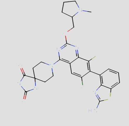 CN1CCCC1COc1nc(N2CCC3(CC2)NC(=O)NC3=O)c2cc(Cl)c(-c3cccc4sc(N)nc34)c(F)c2n1